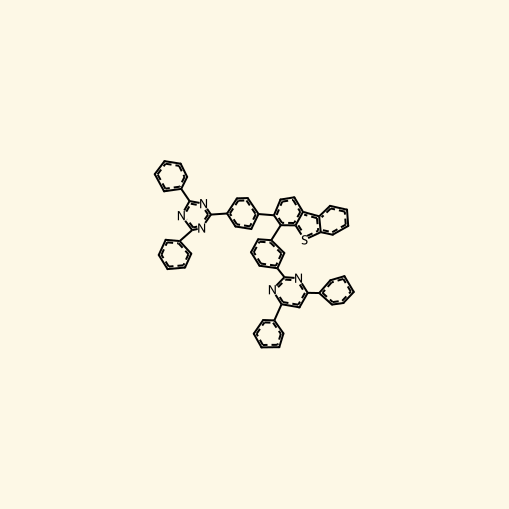 c1ccc(-c2cc(-c3ccccc3)nc(-c3cccc(-c4c(-c5ccc(-c6nc(-c7ccccc7)nc(-c7ccccc7)n6)cc5)ccc5c4sc4ccccc45)c3)n2)cc1